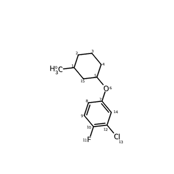 CC1CCCC(Oc2ccc(F)c(Cl)c2)C1